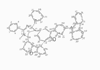 CN1C(c2ccccc2)=NC(c2ccccc2)/C2=C3/C=CC(=c4oc5cc(-n6c7ccccc7c7ccccc76)ccc5c4=C3)c3cccc4oc5cccc(c5c34)C1C2